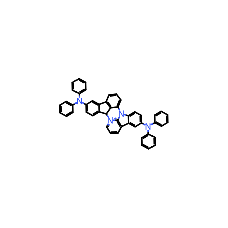 c1ccc(N(c2ccccc2)c2ccc3c(c2)-c2cccc4c2C3[n+]2cccc3c5cc(N(c6ccccc6)c6ccccc6)ccc5n-4c32)cc1